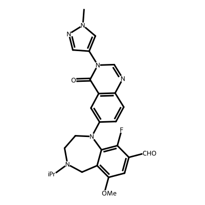 COc1cc(C=O)c(F)c2c1CN(C(C)C)CCN2c1ccc2ncn(-c3cnn(C)c3)c(=O)c2c1